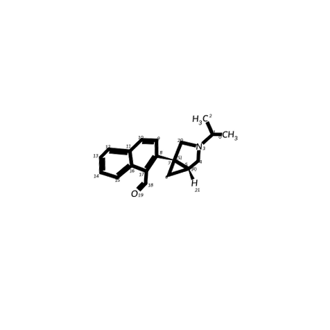 CC(C)N1C[C@@H]2C[C@]2(c2ccc3ccccc3c2C=O)C1